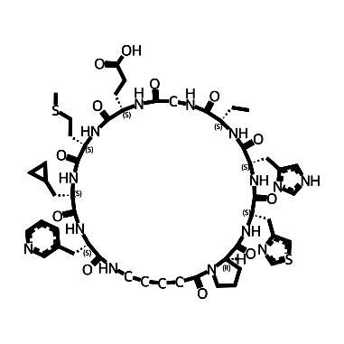 CC[C@@H]1NC(=O)[C@H](Cc2c[nH]cn2)NC(=O)[C@H](Cc2cscn2)NC(=O)[C@H]2CCCN2C(=O)CCCCNC(=O)[C@H](Cc2cccnc2)NC(=O)[C@H](CC2CC2)NC(=O)[C@H](CCSC)NC(=O)[C@H](CCC(=O)O)NC(=O)CNC1=O